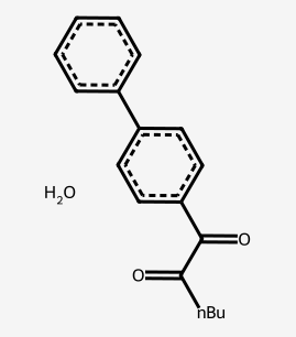 CCCCC(=O)C(=O)c1ccc(-c2ccccc2)cc1.O